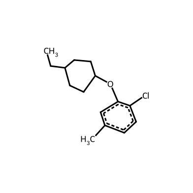 CCC1CCC(Oc2cc(C)ccc2Cl)CC1